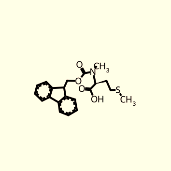 CSCC[C@@H](C(=O)O)N(C)C(=O)OCC1c2ccccc2-c2ccccc21